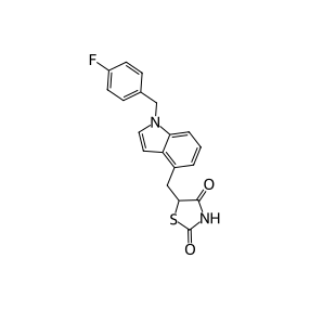 O=C1NC(=O)C(Cc2cccc3c2ccn3Cc2ccc(F)cc2)S1